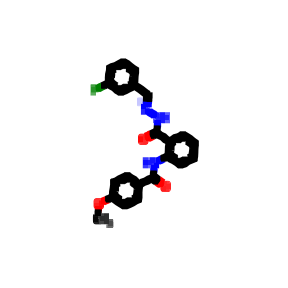 COc1ccc(C(=O)Nc2ccccc2C(=O)N/N=C/c2cccc(F)c2)cc1